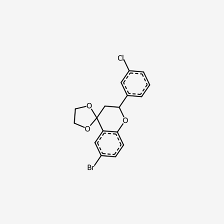 Clc1cccc(C2CC3(OCCO3)c3cc(Br)ccc3O2)c1